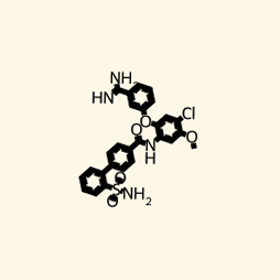 COc1cc(NC(=O)c2ccc(-c3ccccc3S(N)(=O)=O)cc2)c(Oc2cccc(C(=N)N)c2)cc1Cl